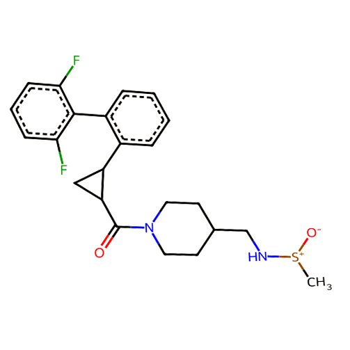 C[S+]([O-])NCC1CCN(C(=O)C2CC2c2ccccc2-c2c(F)cccc2F)CC1